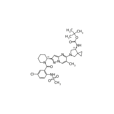 Cc1cn2nc([C@@H]3CCCCN3C(=O)c3cc(Cl)ccc3NS(C)(=O)=O)cc2nc1N1C[C@@H](NC(=O)OC(C)(C)C)C2(CC2)C1